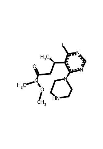 CON(C)C(=O)C[C@@H](C)c1c(I)ncnc1N1CCNCC1